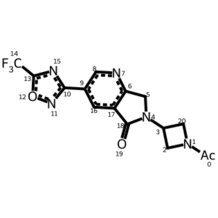 CC(=O)N1CC(N2Cc3ncc(-c4noc(C(F)(F)F)n4)cc3C2=O)C1